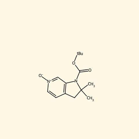 CC(C)(C)OC(=O)N1c2c[n+]([O-])ccc2CC1(C)C